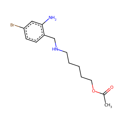 CC(=O)OCCCCCNCc1ccc(Br)cc1N